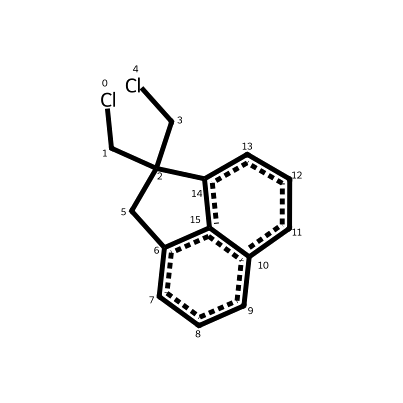 ClCC1(CCl)Cc2cccc3cccc1c23